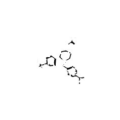 CC(C)c1ccc(CN2CC[C@@H](CC(=O)O)C[C@H]2c2ccc(C(F)(F)F)cc2)cc1